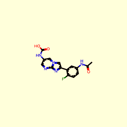 CC(=O)Nc1ccc(F)c(-c2cn3cc(NC(=O)O)cnc3n2)c1